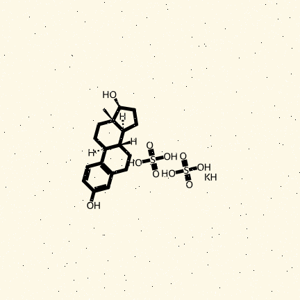 C[C@]12CC[C@@H]3c4ccc(O)cc4CC[C@H]3[C@@H]1CC[C@@H]2O.O=S(=O)(O)O.O=S(=O)(O)O.[KH]